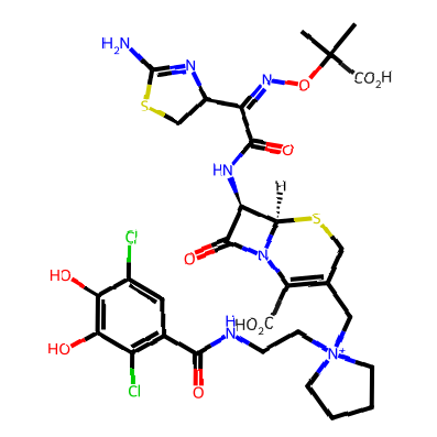 CC(C)(O/N=C(\C(=O)N[C@@H]1C(=O)N2C(C(=O)O)=C(C[N+]3(CCNC(=O)c4cc(Cl)c(O)c(O)c4Cl)CCCC3)CS[C@H]12)C1CSC(N)=N1)C(=O)O